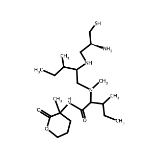 CCC(C)C(CN(C)C(C(=O)NC1(C)CCCOC1=O)C(C)CC)NC[C@H](N)CS